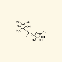 COC1=C(OC)C(O)C(C/C=C(\C)CO[C@H]2OC3C(O)C3(O)C(O)C2O)C(C)C1=O